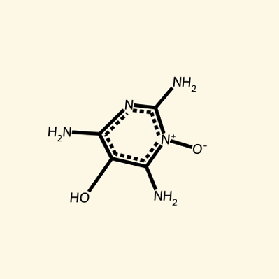 Nc1nc(N)[n+]([O-])c(N)c1O